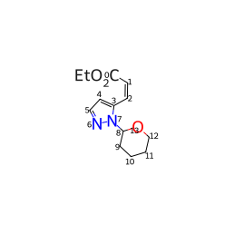 CCOC(=O)/C=C\c1ccnn1C1CCCCO1